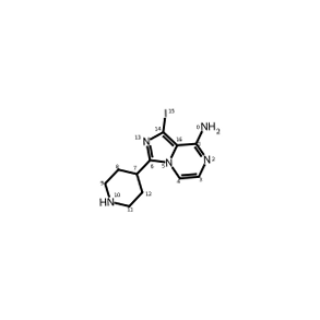 Nc1nccn2c(C3CCNCC3)nc(I)c12